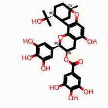 CC(C)(O)[C@@H]1CC[C@@]2(C)CC1c1c(cc(O)c3c1O[C@H](c1cc(O)c(O)c(O)c1)[C@H](OC(=O)c1cc(O)c(O)c(O)c1)C3)O2